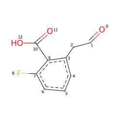 O=CCc1cccc(F)c1C(=O)O